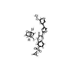 CCOc1cncc(-c2cnc(C(=O)N[C@@H](CN3C[C@H]4C[C@@H]3CO4)c3cc(S(=O)(=O)C4CC4)ccn3)s2)n1